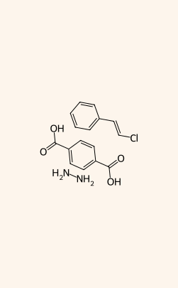 ClC=Cc1ccccc1.NN.O=C(O)c1ccc(C(=O)O)cc1